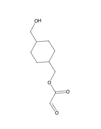 O=CC(=O)OCC1CCC(CO)CC1